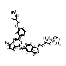 CC(C)NC(=O)COc1cccc(-c2nc(Nc3ccc4c(cnn4COCC[Si](C)(C)C)c3)c3ccc(F)n3n2)c1